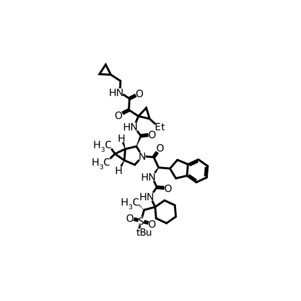 CCC1CC1(NC(=O)[C@@H]1[C@@H]2[C@H](CN1C(=O)[C@H](NC(=O)NC1([C@@H](C)S(=O)(=O)C(C)(C)C)CCCCC1)C1Cc3ccccc3C1)C2(C)C)C(=O)C(=O)NCC1CC1